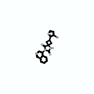 O=C1NC2(CC(c3sccc3Br)C2)C(=O)N1c1cncc2ccccc12